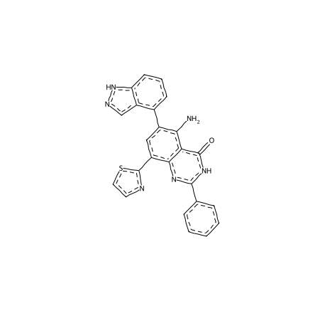 Nc1c(-c2cccc3[nH]ncc23)cc(-c2nccs2)c2nc(-c3ccccc3)[nH]c(=O)c12